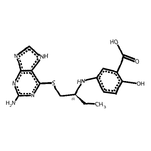 CC[C@@H](CSc1nc(N)nc2nc[nH]c12)Nc1ccc(O)c(C(=O)O)c1